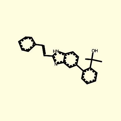 CC(C)(O)c1ccccc1-c1ccc2[nH]c(C=Cc3ccccc3)nc2c1